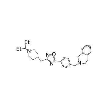 CCC(CC)N1CCC(Cc2noc(-c3ccc(CN4CCc5ccccc5C4)cc3)n2)CC1